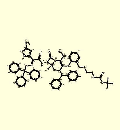 CC(C)(C)OC(=O)NCCSCc1cnccc1SC1=C(C(=O)O)N2C(=O)[C@@H](NC(=O)C(=NOC(c3ccccc3)(c3ccccc3)c3ccccc3)c3nsc(N)n3)[C@H]2CC1C(c1ccccc1)c1ccccc1